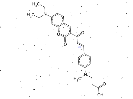 CCN(CC)c1ccc2cc(C(=O)/C=C/c3ccc(N(C)CCC(=O)O)cc3)c(=O)oc2c1